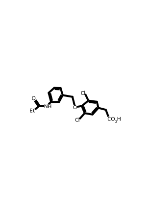 CCC(=O)Nc1cccc(COc2c(Cl)cc(CC(=O)O)cc2Cl)c1